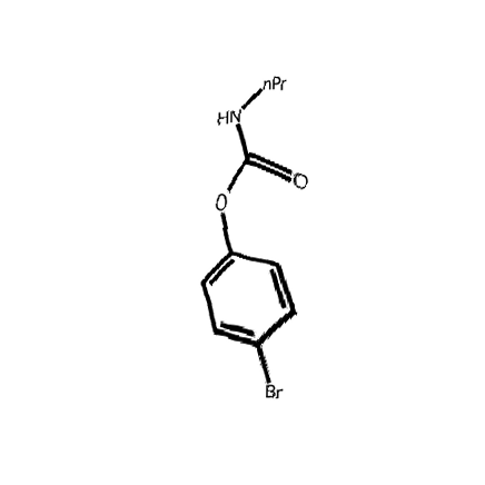 CCCNC(=O)Oc1ccc(Br)cc1